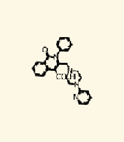 O=C(O)c1c(CN2CCN(c3ccccn3)CC2)n(-c2ccccc2)c(=O)c2ccccc12